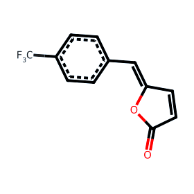 O=C1C=CC(=Cc2ccc(C(F)(F)F)cc2)O1